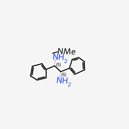 CNC.N[C@@H](c1ccccc1)[C@@H](N)c1ccccc1